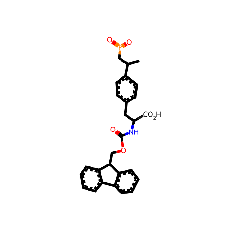 CC(CP(=O)=O)c1ccc(CC(NC(=O)OCC2c3ccccc3-c3ccccc32)C(=O)O)cc1